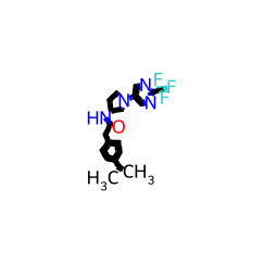 CC(C)c1ccc(CC(=O)NC2CCN(c3cnc(C(F)(F)F)nc3)C2)cc1